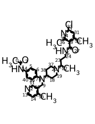 CC(=O)Nc1ccc(N(Cc2cnccc2C)C2CCN(C(C)CCNC(=O)c3c(C)cc(Cl)nc3C)CC2)cc1